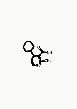 Cc1nccc(C2CCCCC2)c1C(N)=O